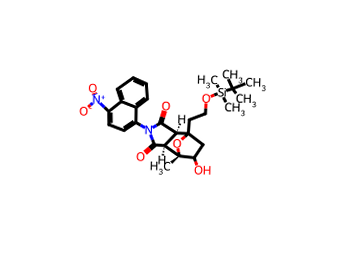 CC(C)(C)[Si](C)(C)OCCC12CC(O)[C@@](C)(O1)[C@H]1C(=O)N(c3ccc([N+](=O)[O-])c4ccccc34)C(=O)[C@H]12